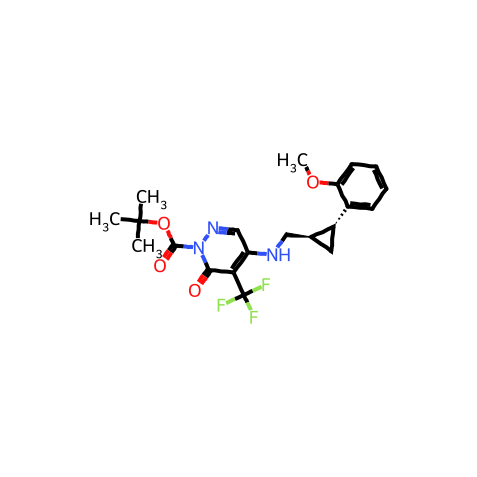 COc1ccccc1[C@@H]1C[C@H]1CNc1cnn(C(=O)OC(C)(C)C)c(=O)c1C(F)(F)F